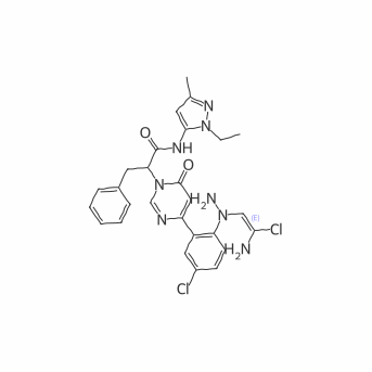 CCn1nc(C)cc1NC(=O)C(Cc1ccccc1)n1cnc(-c2cc(Cl)ccc2N(N)/C=C(\N)Cl)cc1=O